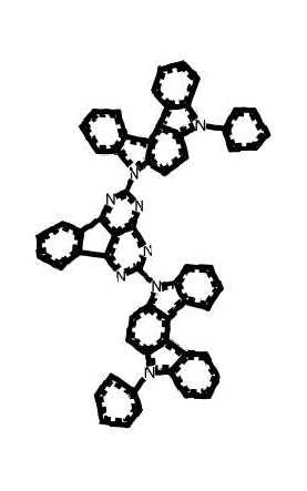 c1ccc(-n2c3ccccc3c3c4c5ccccc5n(-c5nc6c7c(nc(-n8c9ccccc9c9c%10c%11ccccc%11n(-c%11ccccc%11)c%10ccc98)nc7n5)-c5ccccc5-6)c4ccc32)cc1